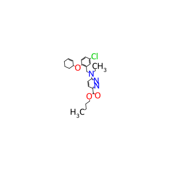 CCCCOC(=O)c1ccc(N(CC)Cc2cc(Cl)ccc2OC2C=CCCC2)nn1